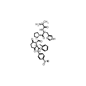 C[C@H](N)C(=O)N[C@@H](Cc1c[nH]cn1)C(=O)N1CCC[C@H]1C(=O)N1C(=O)CCC(=O)[C@]1(Cc1ccccc1)C(=O)Nc1ccc([N+](=O)[O-])cc1